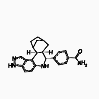 NC(=O)c1ccc([C@@H]2Nc3ccc4[nH]ncc4c3[C@H]3C4CCC(C4)C[C@@H]23)cc1